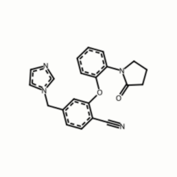 N#Cc1ccc(Cn2ccnc2)cc1Oc1ccccc1N1CCCC1=O